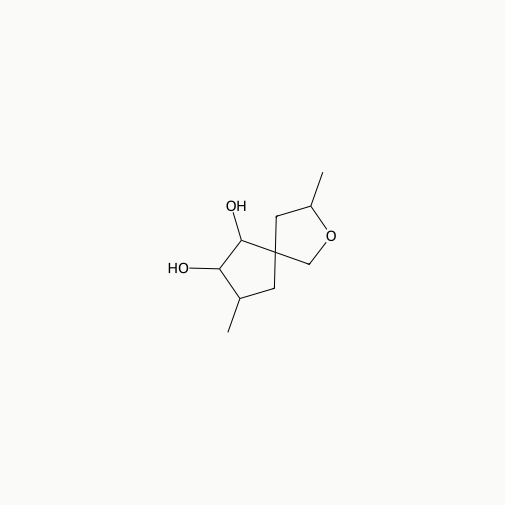 CC1CC2(CO1)CC(C)C(O)C2O